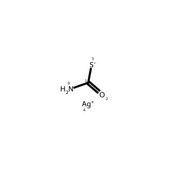 NC(=O)[S-].[Ag+]